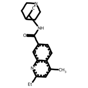 CCc1cc(C)c2ccc(C(=O)NC3CN4CCC3CC4)cc2n1